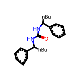 CCCCC(NC(=O)NC(CCCC)c1ccccc1)c1ccccc1